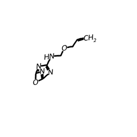 C=CCOCNc1nc2nc(n1)O2